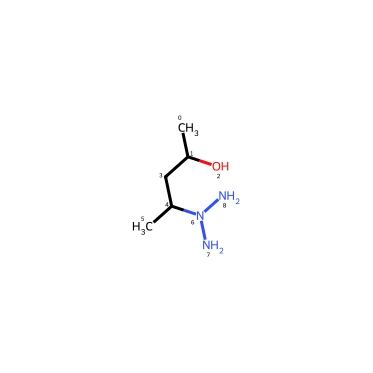 CC(O)CC(C)N(N)N